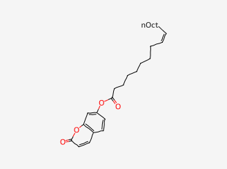 CCCCCCCC/C=C\CCCCCCCC(=O)Oc1ccc2ccc(=O)oc2c1